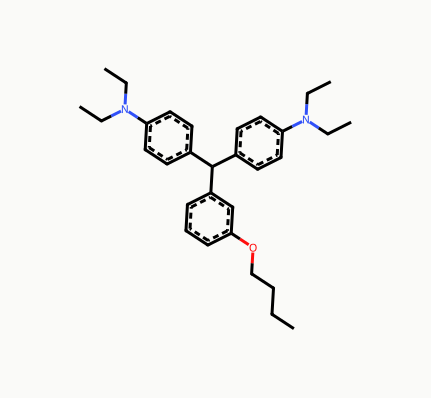 CCCCOc1cccc(C(c2ccc(N(CC)CC)cc2)c2ccc(N(CC)CC)cc2)c1